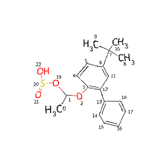 CC(Oc1ccc(C(C)(C)C)cc1-c1ccccc1)OS(=O)O